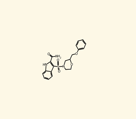 NC(=O)c1[nH]c2ccccc2c1S(=O)(=O)N1CCOC(COc2ccccc2)C1